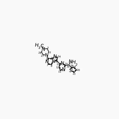 CN1CCN(c2nccn3c(-c4ccnc(C(N)c5cccs5)n4)cnc23)CC1